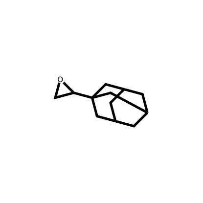 C1C2CC3CC1CC(C1CO1)(C2)C3